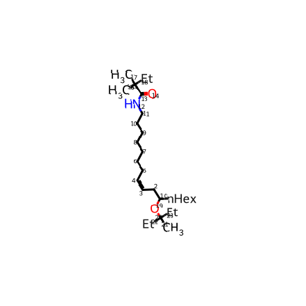 CCCCCCC(C/C=C\CCCCCCCNC(=O)C(C)(C)CC)OC(C)(CC)CC